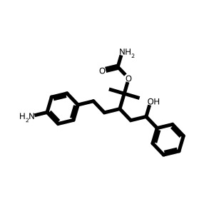 CC(C)(OC(N)=O)C(CCc1ccc(N)cc1)CC(O)c1ccccc1